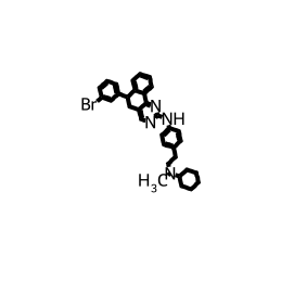 CN(CCc1ccc(Nc2ncc3c(n2)-c2ccccc2C(c2cccc(Br)c2)C3)cc1)C1CCCCC1